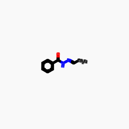 CCOC(=O)C=NNC(=O)c1ccccc1